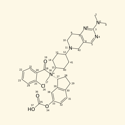 CN(C)c1ncc2c(n1)CCN(C1CCC([N+](C)(C(=O)c3ccccc3Cl)[C@@H]3CCc4ccc(OC(=O)O)cc43)CC1)C2